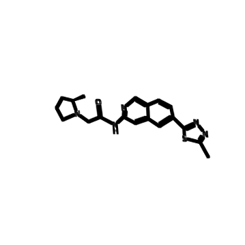 Cc1nnc(-c2ccc3cnc(NC(=O)CN4CCC[C@H]4C)cc3c2)s1